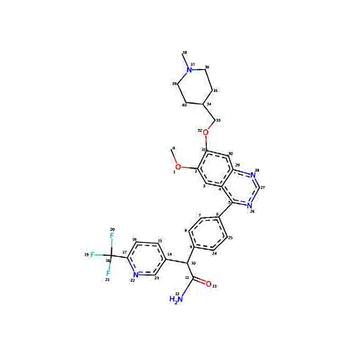 COc1cc2c(-c3ccc(C(C(N)=O)c4ccc(C(F)(F)F)nc4)cc3)ncnc2cc1OCC1CCN(C)CC1